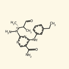 CCc1cccc(Nc2nc(N(N)[C@H](C)C(C)C=O)ncc2C(N)=O)c1